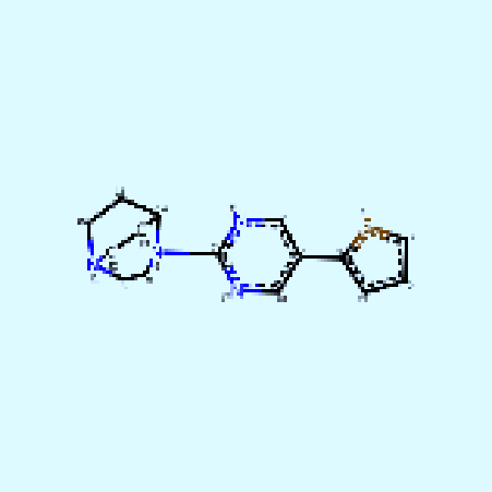 c1csc(-c2cnc(N3CCN4CCC3CC4)nc2)c1